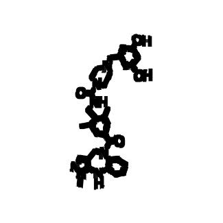 Cc1cc(C(=O)N2Cc3cnn(C)c3Nc3ccccc32)cc(C)c1CNC(=O)N1CCN(Cc2cc(O)cc(O)c2)CC1